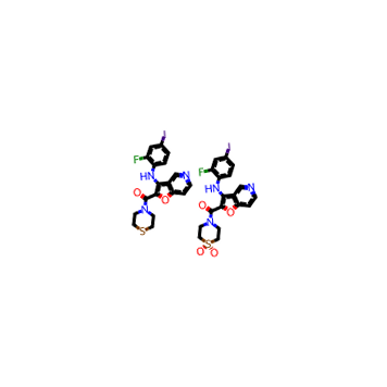 O=C(c1oc2ccncc2c1Nc1ccc(I)cc1F)N1CCS(=O)(=O)CC1.O=C(c1oc2ccncc2c1Nc1ccc(I)cc1F)N1CCSCC1